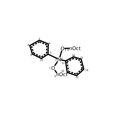 CCCCCCCCO[N+](OCCCCCCCC)(c1ccccc1)c1ccccc1